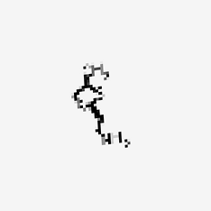 CC1CSC(=CCN)S1